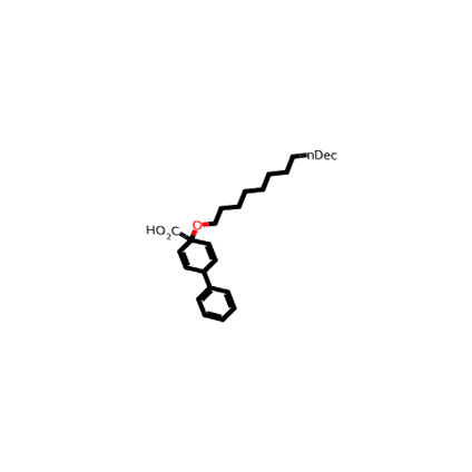 CCCCCCCCCCCCCCCCCCOC1(C(=O)O)C=CC(c2ccccc2)C=C1